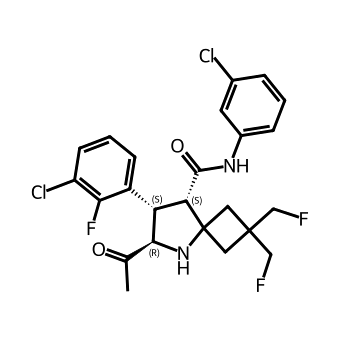 CC(=O)[C@@H]1NC2(CC(CF)(CF)C2)[C@@H](C(=O)Nc2cccc(Cl)c2)[C@H]1c1cccc(Cl)c1F